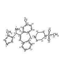 Cn1cncc1C(N)C1=Cc2cccnc2[C@@H](N2CCN(S(C)(=O)=O)CC2)c2ccc(Cl)cc21